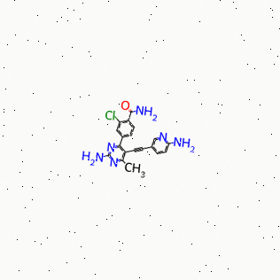 Cc1nc(N)nc(-c2ccc(C(N)=O)c(Cl)c2)c1C#Cc1ccc(N)nc1